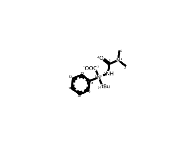 CN(C)C(=O)N[N+](C(=O)[O-])(c1ccccc1)C(C)(C)C